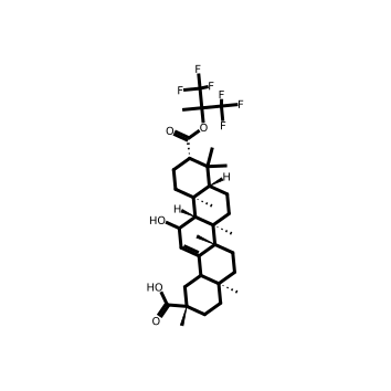 CC1(C)[C@@H](C(=O)OC(C)(C(F)(F)F)C(F)(F)F)CC[C@]2(C)[C@H]3C(O)C=C4C5C[C@@](C)(C(=O)O)CC[C@]5(C)CC[C@@]4(C)[C@]3(C)CC[C@@H]12